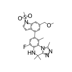 COCc1cc(-c2cc(F)c3c(c2C)-n2c(C)nnc2C(C)(C)N3)c2ccn(S(C)(=O)=O)c2c1